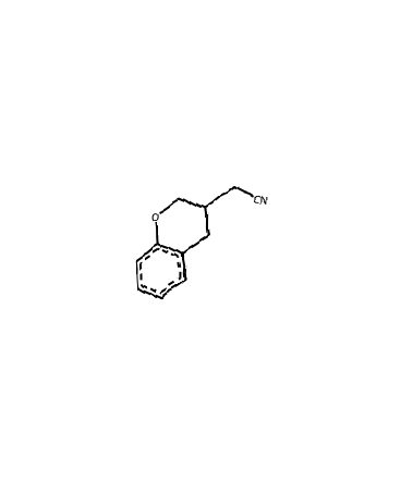 N#CCC1COc2ccccc2C1